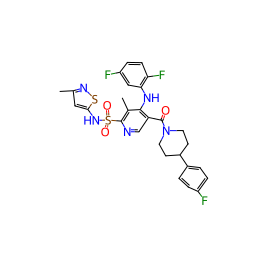 Cc1cc(NS(=O)(=O)c2ncc(C(=O)N3CCC(c4ccc(F)cc4)CC3)c(Nc3cc(F)ccc3F)c2C)sn1